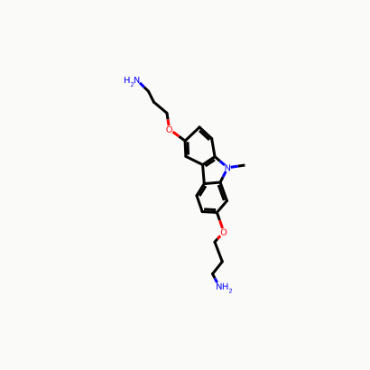 Cn1c2ccc(OCCCN)cc2c2ccc(OCCCN)cc21